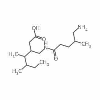 CCC(C)C(C)C(CNC(=O)CCC(C)CN)CC(=O)O